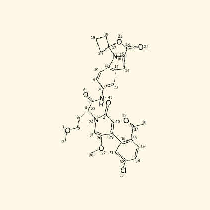 COCC[C@H](C(=O)Nc1ccc2c(c1)cc1n2C2(CCC2)OC1=O)n1cc(OC)c(-c2cc(Cl)ccc2C(C)=O)cc1=O